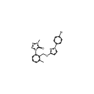 Cc1cccc(-n2nnn(C)c2=O)c1COc1ccn(-c2ccc(Br)cc2)n1